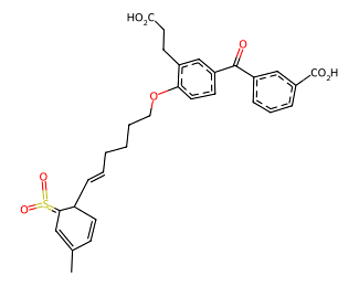 CC1=CC(=S(=O)=O)C(C=CCCCCOc2ccc(C(=O)c3cccc(C(=O)O)c3)cc2CCC(=O)O)C=C1